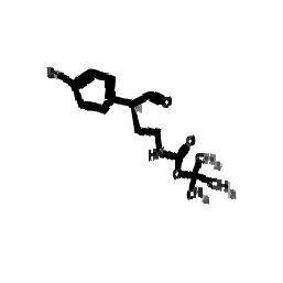 CC(C)(C)OC(=O)NCC[C@H](C=O)c1ccc(Br)cc1